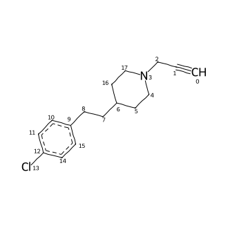 C#CCN1CCC(CCc2ccc(Cl)cc2)CC1